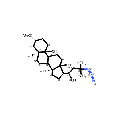 CO[C@@H]1CC[C@]2(C)C3CC[C@]4(C)[C@@H]([C@H](C)CC(C)(C)N=[N+]=[N-])CC[C@H]4C3CC[C@H]2C1